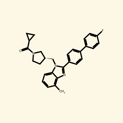 Cc1cccc2c1nc(-c1ccc(-c3ccc(F)cc3)cc1)n2C[C@@H]1CCN(C(=O)C2CC2)C1